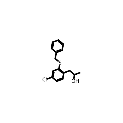 CC(O)Cc1ccc(Cl)cc1SCc1ccccc1